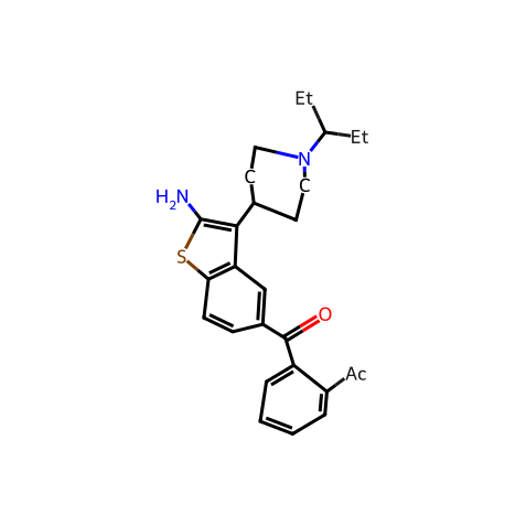 CCC(CC)N1CCC(c2c(N)sc3ccc(C(=O)c4ccccc4C(C)=O)cc23)CC1